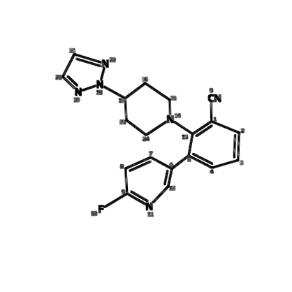 N#Cc1cccc(-c2ccc(F)nc2)c1N1CCC(n2nccn2)CC1